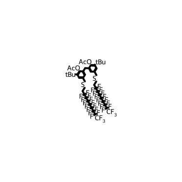 CC(=O)Oc1c(Cc2cc(CSCCC(F)(F)C(F)(F)C(F)(F)C(F)(F)C(F)(F)C(F)(F)C(F)(F)C(F)(F)F)cc(C(C)(C)C)c2OC(C)=O)cc(CSCCC(F)(F)C(F)(F)C(F)(F)C(F)(F)C(F)(F)C(F)(F)C(F)(F)C(F)(F)F)cc1C(C)(C)C